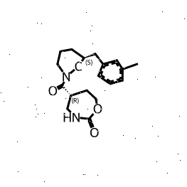 Cc1cccc(C[C@@H]2CCCN(C(=O)[C@@H]3CCOC(=O)NC3)C2)c1